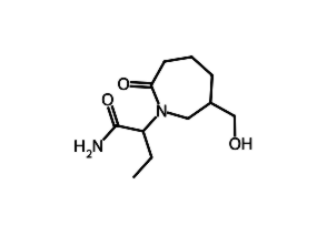 CCC(C(N)=O)N1CC(CO)CCCC1=O